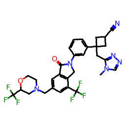 Cn1cnnc1CC1(c2cccc(N3Cc4c(cc(CN5CCOC(C(F)(F)F)C5)cc4C(F)(F)F)C3=O)c2)CC(C#N)C1